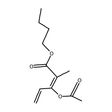 C=CC(OC(C)=O)=C(C)C(=O)OCCCC